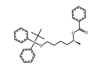 C[C@@H](CCCCO[Si](c1ccccc1)(c1ccccc1)C(C)(C)C)OC(=O)c1ccccc1